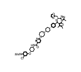 CNc1ccc(O[C@H]2CC[C@H](NC(=O)c3ccc(N4CCCN([C@H]5CC[C@@H](c6ccc(C7=N[C@@H](Cc8ncco8)c8nnc(C)n8-c8sc(C)c(C)c87)cc6)CC5)CC4)nn3)CC2)cc1Cl